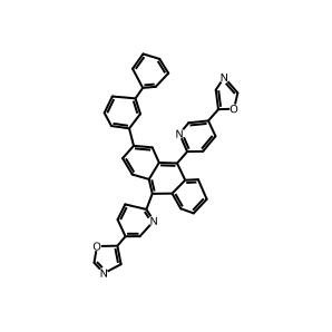 c1ccc(-c2cccc(-c3ccc4c(-c5ccc(-c6cnco6)cn5)c5ccccc5c(-c5ccc(-c6cnco6)cn5)c4c3)c2)cc1